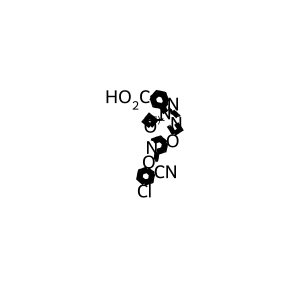 N#Cc1cc(Cl)ccc1OCc1cc(OC2CN(Cc3nc4ccc(C(=O)O)cc4n3C[C@@H]3CCO3)C2)ccn1